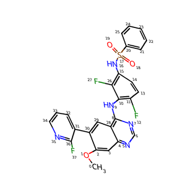 COc1cc2ncnc(Nc3c(F)ccc(NS(=O)(=O)c4ccccc4)c3F)c2cc1-c1cccnc1F